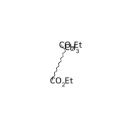 CCOC(=O)CCCCCCCCCCCCC(C)CC(=O)OCC